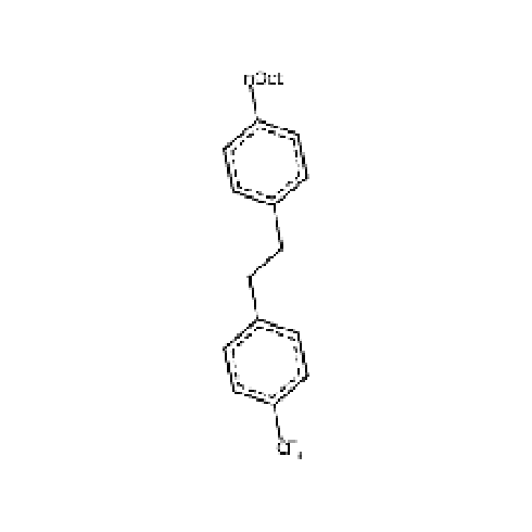 CCCCCCCCc1ccc(CCc2ccc(C(F)(F)F)cc2)cc1